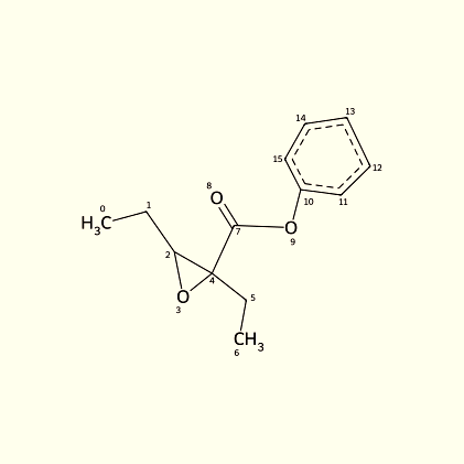 CCC1OC1(CC)C(=O)Oc1ccccc1